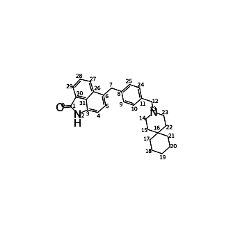 O=C1Nc2ccc(Cc3ccc(CN4CCC5(CCCCC5)CC4)cc3)c3cccc1c23